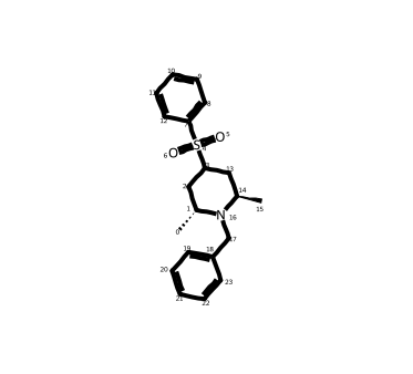 C[C@@H]1CC(S(=O)(=O)c2ccccc2)C[C@@H](C)N1Cc1ccccc1